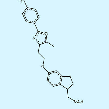 Cc1oc(-c2ccc(C(F)(F)F)cc2)nc1CCOc1ccc2c(c1)CCC2CC(=O)O